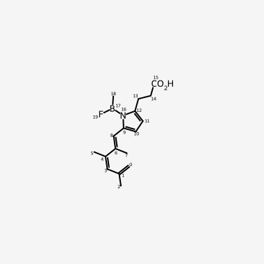 C=C(C)/C=C(C)\C(C)=C\c1ccc(CCC(=O)O)n1B(C)F